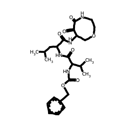 CC(C)CC(NC(=O)C(NC(=O)OCc1ccccc1)C(C)C)C(=O)NC1COCCNC(=O)C1=O